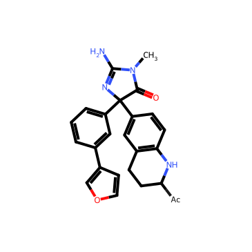 CC(=O)C1CCc2cc(C3(c4cccc(-c5ccoc5)c4)N=C(N)N(C)C3=O)ccc2N1